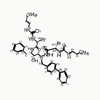 COCCNC(=O)N[C@H](C(=O)N[C@@H](Cc1ccccc1)[C@@H](O)CN(Cc1ccc(-c2ccccc2)cc1)NC(=O)[C@@H](NC(=O)NCCOC)C(C)C)C(C)C